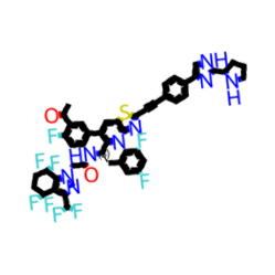 CC(=O)c1cc(-c2cc3sc(C#Cc4ccc(-c5c[nH]c(C6CCCN6)n5)cc4)nc3nc2[C@H](Cc2cc(F)cc(F)c2)NC(=O)Cn2nc(C(F)F)c3c2C(F)(F)CCC3(F)F)ccc1F